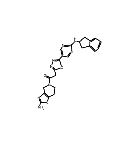 Nc1nc2c(s1)CCN(C(=O)Cc1nnc(-c3cnc(NC4Cc5ccccc5C4)nc3)o1)C2